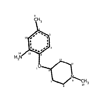 Cc1ccc(OC2CCN(C)CC2)c(N)c1